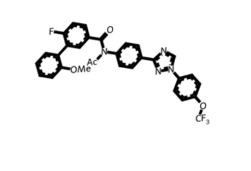 COc1ccccc1-c1cc(C(=O)N(C(C)=O)c2ccc(-c3ncn(-c4ccc(OC(F)(F)F)cc4)n3)cc2)ccc1F